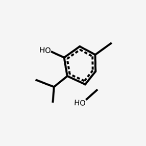 CO.Cc1ccc(C(C)C)c(O)c1